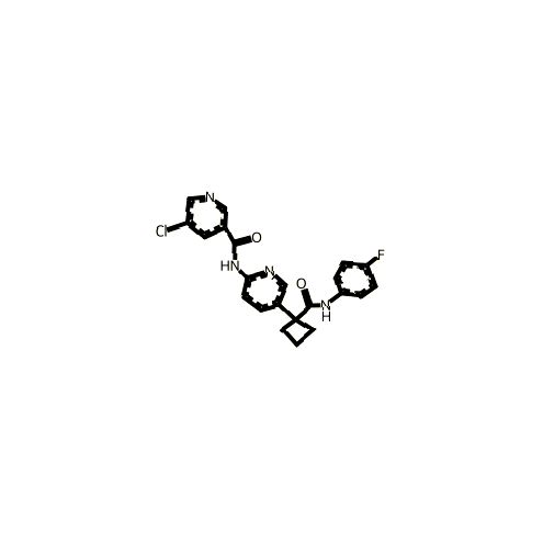 O=C(Nc1ccc(C2(C(=O)Nc3ccc(F)cc3)CCC2)cn1)c1cncc(Cl)c1